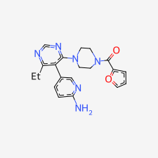 CCc1ncnc(N2CCN(C(=O)c3ccco3)CC2)c1-c1ccc(N)nc1